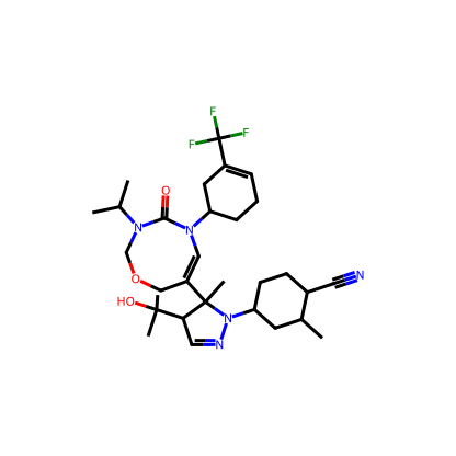 CC1CC(N2N=CC(C(C)(C)O)C2(C)/C2=C/N(C3CCC=C(C(F)(F)F)C3)C(=O)N(C(C)C)COC2)CCC1C#N